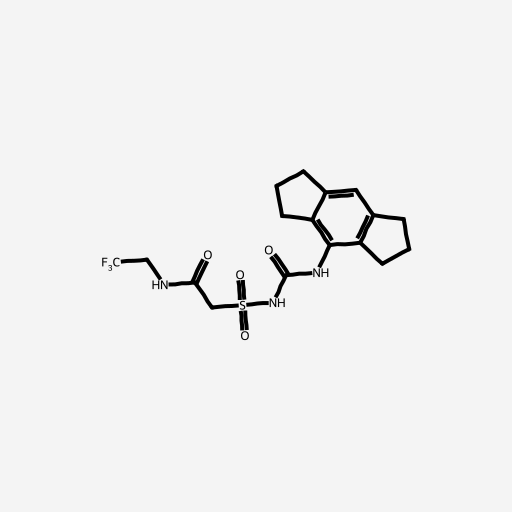 O=C(CS(=O)(=O)NC(=O)Nc1c2c(cc3c1CCC3)CCC2)NCC(F)(F)F